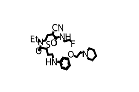 CCN1C(=O)C(CCNc2cccc(OCCN3CCCCC3)c2)SC1CC(C#N)C(=O)NCCF